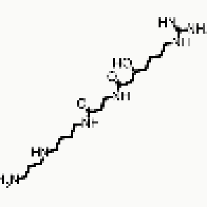 N=C(N)NCCCCC(O)CC(=O)NCCC(=O)NCCCCNCCCN